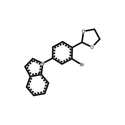 Brc1cc(-n2ccc3ccccc32)ccc1C1OCCO1